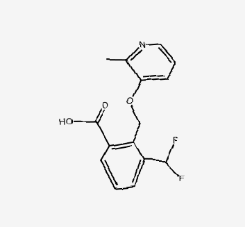 Cc1ncccc1OCc1c(C(=O)O)cccc1C(F)F